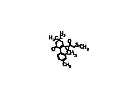 CSCC(=O)OC1=C(c2ccc(C)cc2C)C(=O)CC(C)(C)C1